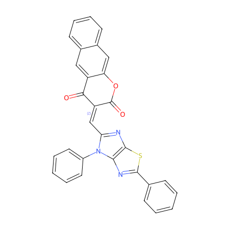 O=C1Oc2cc3ccccc3cc2C(=O)/C1=C/c1nc2sc(-c3ccccc3)nc2n1-c1ccccc1